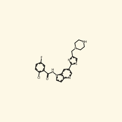 O=C(Nn1ccc2ncc(-c3nc(CN4CCNCC4)cs3)cc21)c1cc(F)ccc1Cl